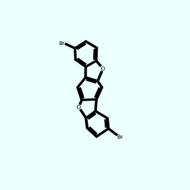 Brc1ccc2oc3cc4c(cc3c2c1)oc1ccc(Br)cc14